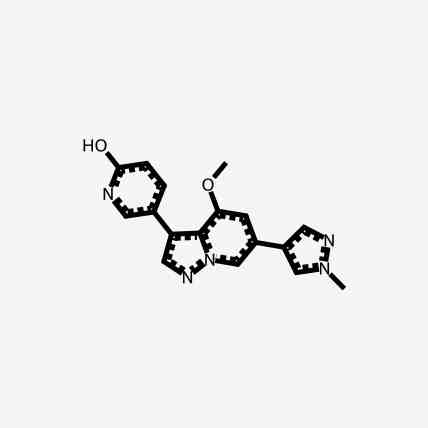 COc1cc(-c2cnn(C)c2)cn2ncc(-c3ccc(O)nc3)c12